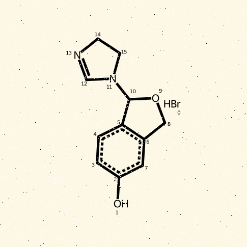 Br.Oc1ccc2c(c1)COC2N1C=NCC1